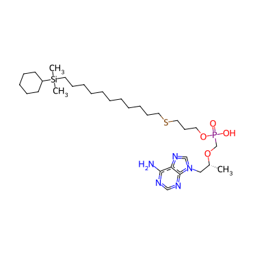 C[C@H](Cn1cnc2c(N)ncnc21)OCP(=O)(O)OCCCSCCCCCCCCCCC[Si](C)(C)C1CCCCC1